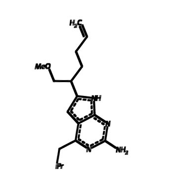 C=CCCC(COC)c1cc2c(CC(C)C)nc(N)nc2[nH]1